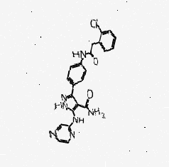 NC(=O)c1c(-c2ccc(NC(=O)Cc3ccccc3Cl)cc2)n[nH]c1Nc1cnccn1